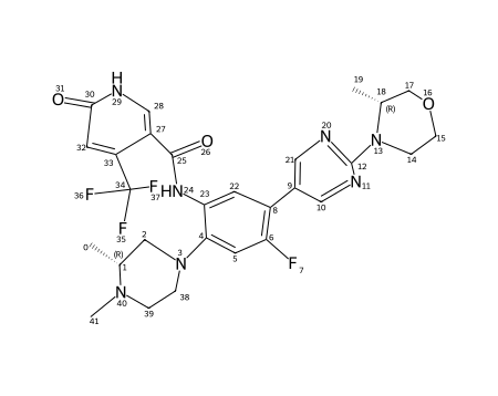 C[C@@H]1CN(c2cc(F)c(-c3cnc(N4CCOC[C@H]4C)nc3)cc2NC(=O)c2c[nH]c(=O)cc2C(F)(F)F)CCN1C